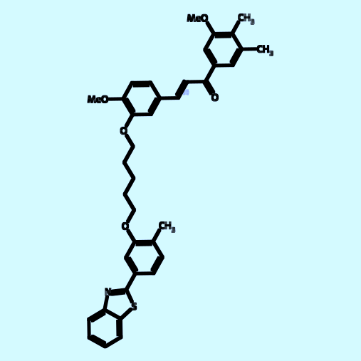 COc1ccc(/C=C/C(=O)c2cc(C)c(C)c(OC)c2)cc1OCCCCCOc1cc(-c2nc3ccccc3s2)ccc1C